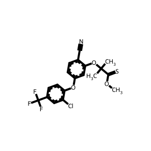 COC(=S)C(C)(C)Oc1cc(Oc2ccc(C(F)(F)F)cc2Cl)ccc1C#N